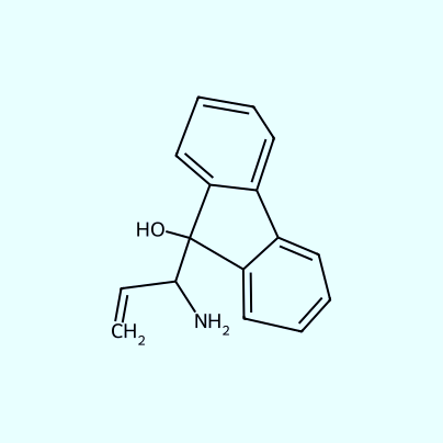 C=CC(N)C1(O)c2ccccc2-c2ccccc21